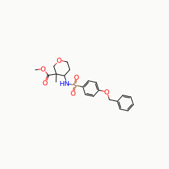 COC(=O)C1(C)COCCC1NS(=O)(=O)c1ccc(OCc2ccccc2)cc1